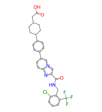 O=C(O)CC1CCC(c2ccc(-c3ccc4nc(C(=O)NCc5c(Cl)cccc5C(F)(F)F)cn4c3)cc2)CC1